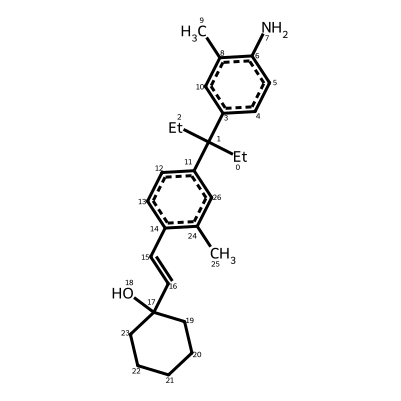 CCC(CC)(c1ccc(N)c(C)c1)c1ccc(/C=C/C2(O)CCCCC2)c(C)c1